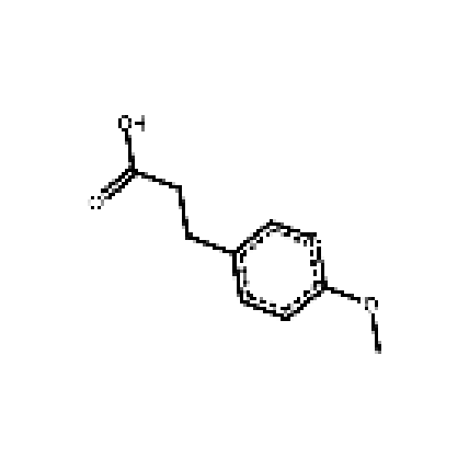 COc1ccc(CCC(=O)O)cn1